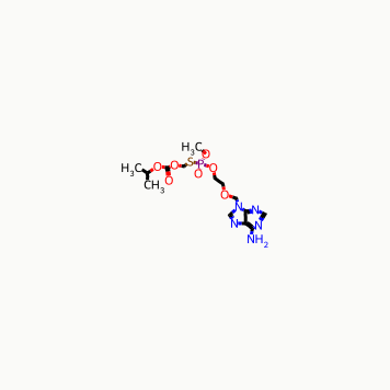 COP(=O)(OCCOCn1cnc2c(N)ncnc21)SCOC(=O)OC(C)C